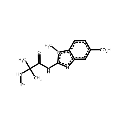 CC(C)NC(C)(C)C(=O)Nc1nc2cc(C(=O)O)ccc2n1C